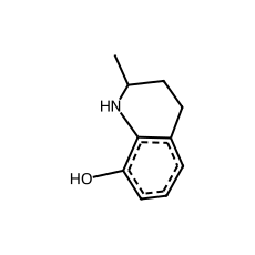 CC1CCc2cccc(O)c2N1